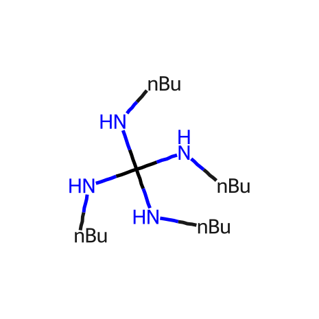 CCCCNC(NCCCC)(NCCCC)NCCCC